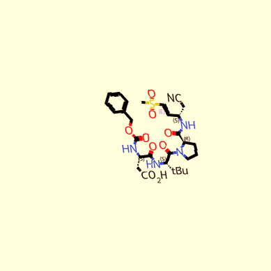 CC(C)(C)[C@H](NC(=O)[C@H](CC(=O)O)NC(=O)OCc1ccccc1)C(=O)N1CCC[C@@H]1C(=O)N[C@H](/C=C/S(C)(=O)=O)CC#N